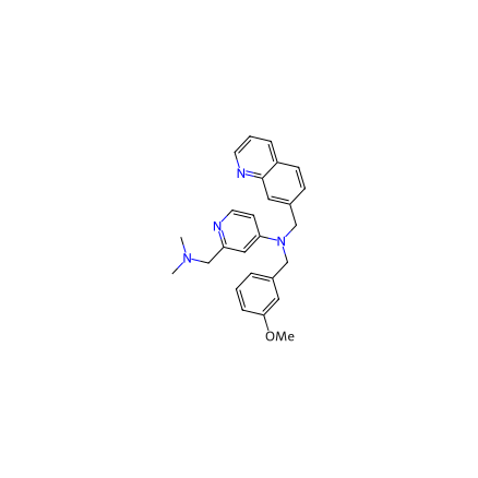 COc1cccc(CN(Cc2ccc3cccnc3c2)c2ccnc(CN(C)C)c2)c1